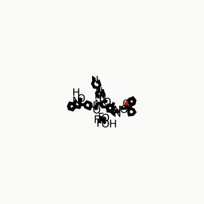 Cc1cc(CC(NC(=O)N2CCC(c3cc4ccccc4[nH]c3=O)CC2)C(=O)N2CCN(C3CCN(C)CC3)CC2)cc2cnn(COC(=O)C3(c4ccccc4)CCCCC3)c12.O=C(O)C(F)(F)F